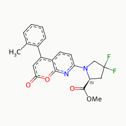 COC(=O)[C@@H]1CC(F)(F)CN1c1ccc2c(-c3ccccc3C)cc(=O)oc2n1